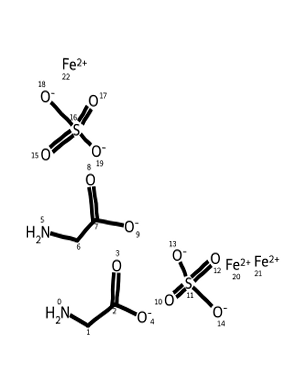 NCC(=O)[O-].NCC(=O)[O-].O=S(=O)([O-])[O-].O=S(=O)([O-])[O-].[Fe+2].[Fe+2].[Fe+2]